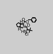 CC(C)(C)[C@H](NCl)C(=O)N1C[C@@H]2CCC[C@@H]2[C@H]1C(=O)OCc1ccccc1